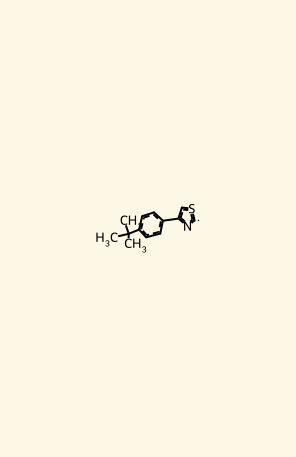 CC(C)(C)c1ccc(-c2cs[c]n2)cc1